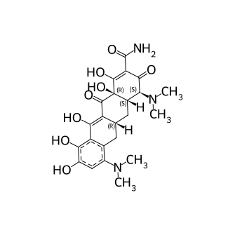 CN(C)c1cc(O)c(O)c2c1C[C@H]1C[C@H]3[C@H](N(C)C)C(=O)C(C(N)=O)=C(O)[C@@]3(O)C(=O)C1=C2O